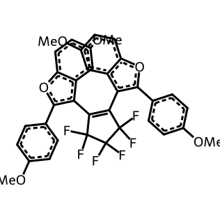 COc1ccc(-c2oc3ccc(OC)cc3c2C2=C(c3c(-c4ccc(OC)cc4)oc4ccc(OC)cc34)C(F)(F)C(F)(F)C2(F)F)cc1